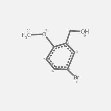 O[CH]c1cc(Br)ccc1OC(F)(F)F